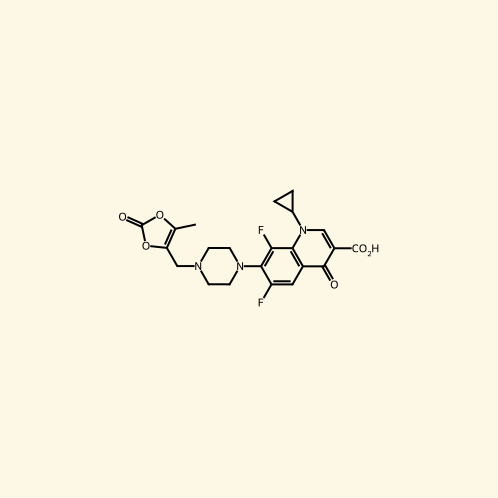 Cc1oc(=O)oc1CN1CCN(c2c(F)cc3c(=O)c(C(=O)O)cn(C4CC4)c3c2F)CC1